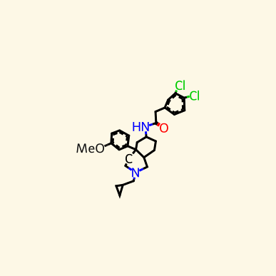 COc1cccc(C23CCN(CC4CC4)CC2CCC(NC(=O)Cc2ccc(Cl)c(Cl)c2)C3)c1